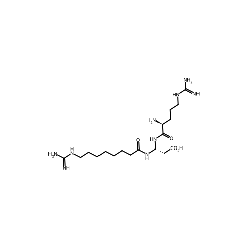 N=C(N)NCCCCCCCC(=O)N[C@@H](CC(=O)O)NC(=O)[C@@H](N)CCCNC(=N)N